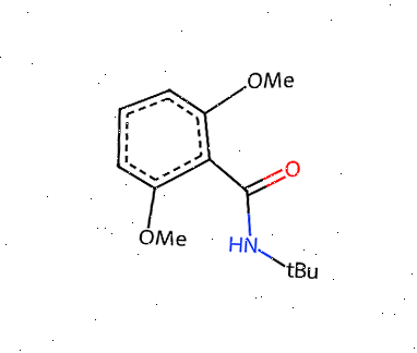 COc1cccc(OC)c1C(=O)NC(C)(C)C